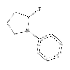 FC1CCCN1c1ccccc1